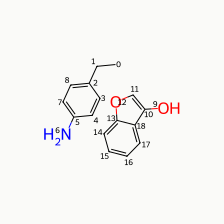 CCc1ccc(N)cc1.Oc1coc2ccccc12